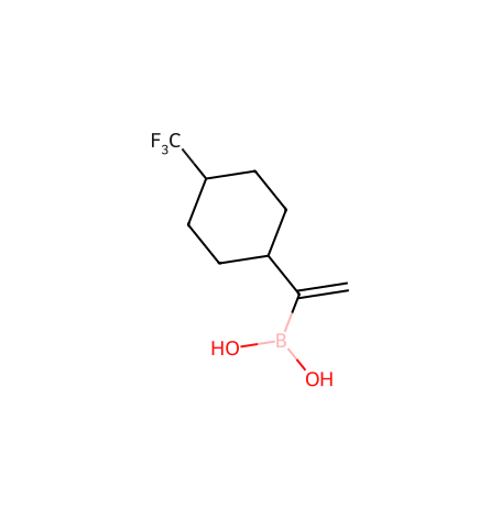 C=C(B(O)O)C1CCC(C(F)(F)F)CC1